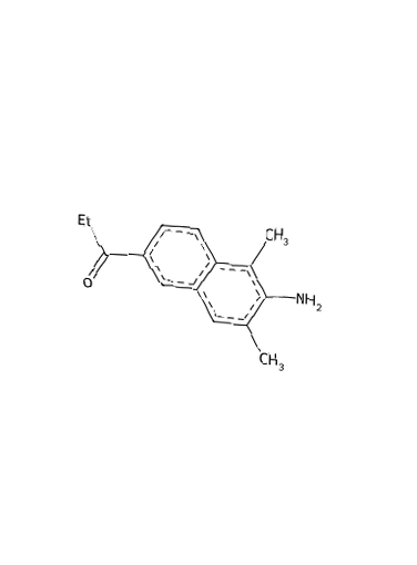 CCC(=O)c1ccc2c(C)c(N)c(C)cc2c1